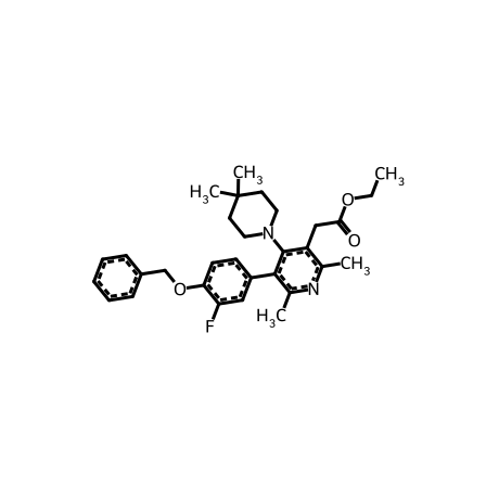 CCOC(=O)Cc1c(C)nc(C)c(-c2ccc(OCc3ccccc3)c(F)c2)c1N1CCC(C)(C)CC1